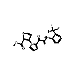 COC(=O)c1sccc1-n1cccc1C(=O)C(=O)Nc1ccccc1C(F)(F)F